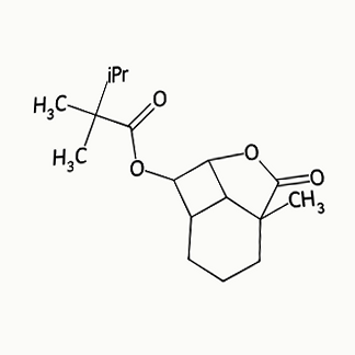 CC(C)C(C)(C)C(=O)OC1C2CCCC3(C)C(=O)OC1C23